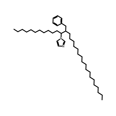 CCCCCCCCCCCCCCCCCCC(Cc1ccccc1)C(CCCCCCCCCCC)n1ccnc1